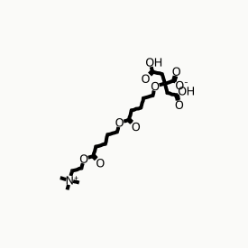 C[N+](C)(C)CCOC(=O)CCCCOC(=O)CCCCOC(CC(=O)O)(CC(=O)O)C(=O)[O-]